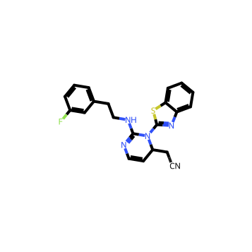 N#CCC1C=CN=C(NCCc2cccc(F)c2)N1c1nc2ccccc2s1